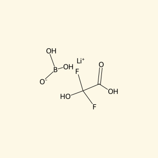 O=C(O)C(O)(F)F.[Li+].[O-]B(O)O